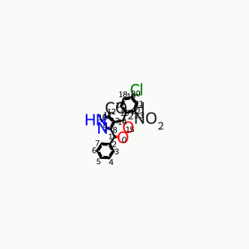 O=C(c1ccccc1)c1n[nH]c(C(=O)O)c1C(=O)c1ccc(Cl)cc1[N+](=O)[O-]